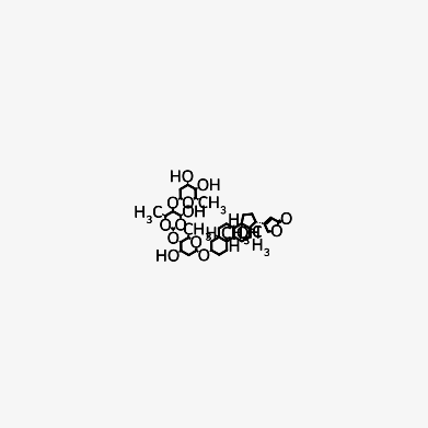 C[C@H]1O[C@@H](O[C@@H]2[C@@H](C)O[C@@H](O[C@H]3[C@@H](O)C[C@H](O[C@H]4CC[C@@]5(C)[C@H](CC[C@@H]6[C@@H]5CC[C@]5(C)[C@@H](C7=CC(=O)OC7)CC[C@]65O)C4)O[C@@H]3C)O[C@@H]2O)C[C@H](O)[C@@H]1O